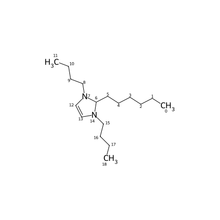 CCCCCCC1N(CCCC)C=CN1CCCC